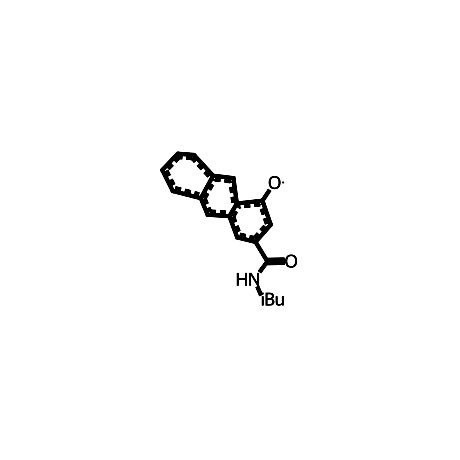 CCC(C)NC(=O)c1cc([O])c2cc3ccccc3cc2c1